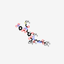 CC[C@H](C)[C@H](NC(=O)CCCNC(=O)OC(C)(C)C)C(=O)Oc1ccc(C(CNC(=O)CCSC)OC(=O)Oc2ccc([N+](=O)[O-])cc2)cc1OC